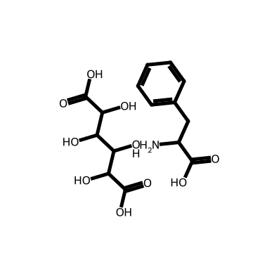 NC(Cc1ccccc1)C(=O)O.O=C(O)C(O)C(O)C(O)C(O)C(=O)O